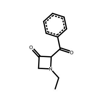 CCN1CC(=O)C1C(=O)c1ccccc1